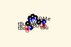 COc1c(C2=CCCN2C(=O)OC(C)(C)C)cc(C(C)(C)C)cc1-c1ccc2ccc3ccc(-c4cc(C(C)(C)C)cc(-c5cccn5C(=O)OC(C)(C)C)c4OC)nc3c2n1